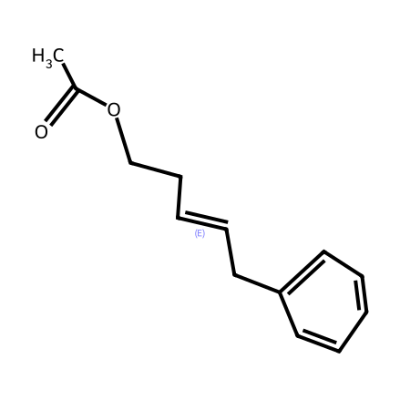 CC(=O)OCC/C=C/Cc1ccccc1